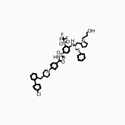 O=C(NS(=O)(=O)c1ccc(N[C@@H](CSc2ccccc2)CC2CCCN2CCCO)c(S(=O)(=O)C(F)(F)F)c1)c1ccc(N2CCC(Cc3ccccc3-c3ccc(Cl)cc3)CC2)cc1